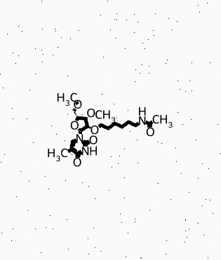 COC[C@H]1OC(n2cc(C)c(=O)[nH]c2=O)[C@H](OCCCCCCNC(C)=O)[C@@H]1OC